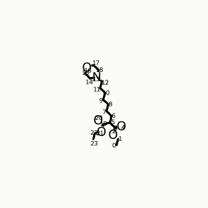 CCOC(=O)C(CCCCCCCN1CCOCC1)C(=O)OCC